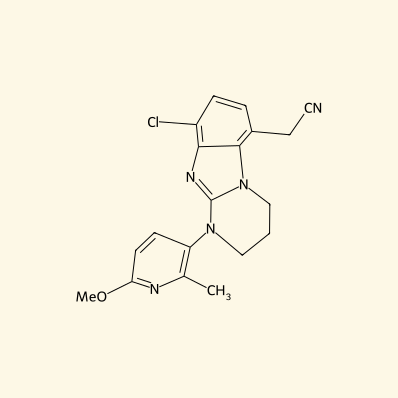 COc1ccc(N2CCCn3c2nc2c(Cl)ccc(CC#N)c23)c(C)n1